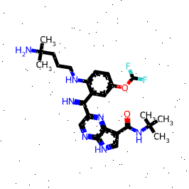 CC(C)(N)CCCNc1ccc(OC(F)F)cc1C(=N)c1cnc2[nH]cc(C(=O)NC(C)(C)C)c2n1